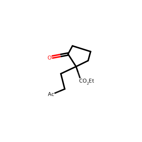 CCOC(=O)C1(CCC(C)=O)CCCC1=O